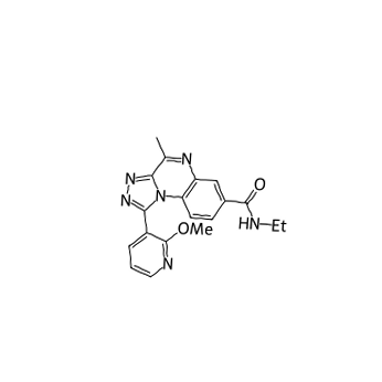 CCNC(=O)c1ccc2c(c1)nc(C)c1nnc(-c3cccnc3OC)n12